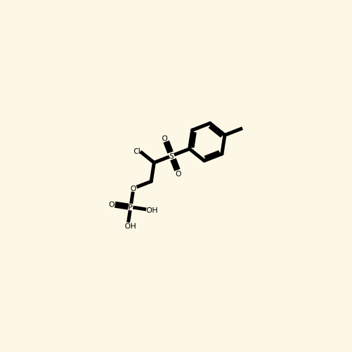 Cc1ccc(S(=O)(=O)C(Cl)COP(=O)(O)O)cc1